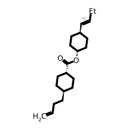 C=CCC[C@H]1CC[C@H](C(=O)O[C@H]2CC[C@H](/C=C/CC)CC2)CC1